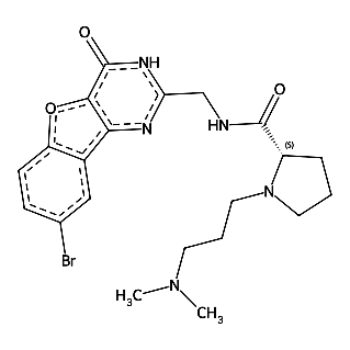 CN(C)CCCN1CCC[C@H]1C(=O)NCc1nc2c(oc3ccc(Br)cc32)c(=O)[nH]1